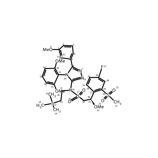 COc1cccc(-c2nnc(N(CCS(C)(C)C)S(=O)(=O)C[C@H](OC)c3ccc(F)cc3S(C)(=O)=O)n2-c2c(OC)cccc2OC)n1